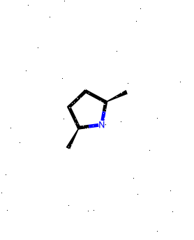 C[C@@H]1CC[C@H](C)[N]1